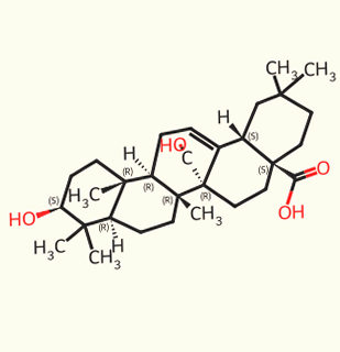 CC1(C)CC[C@]2(C(=O)O)CC[C@]3(CO)C(=CC[C@@H]4[C@@]5(C)CC[C@H](O)C(C)(C)[C@@H]5CC[C@]43C)[C@@H]2C1